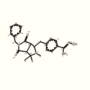 CN1C(Cc2ccc(C(N)=NO)cc2)C2C(=O)N(Cc3ccccc3)C(=O)C2C1(C)C